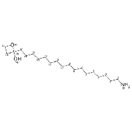 NCCCCCCCCCCCCCCCCCC1(O)CCO1